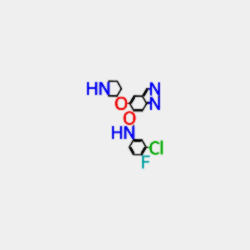 Fc1ccc(NCOc2cc3ncncc3cc2OC2CCCNC2)cc1Cl